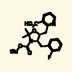 CC(C)(C)OC(=O)N1[C@H](Cc2ccccc2F)[C@H](Cc2ncccc2C(=O)O)OC1(C)C